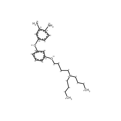 CCCCN(CCCC)CCCCOc1cccc(Oc2ccc(N)c(N)c2)c1